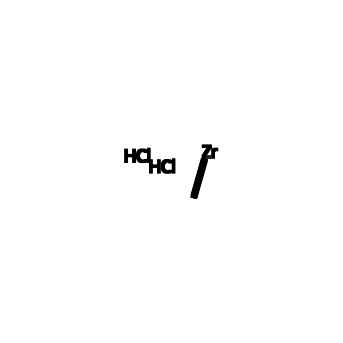 Cl.Cl.[CH3][Zr]